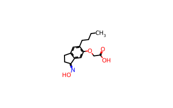 CCCCc1cc2c(cc1OCC(=O)O)/C(=N/O)CC2